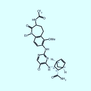 CCN1C(=O)C(NC(=O)C(F)(F)F)CCc2c1ccc(Nc1ncc(Cl)c(N[C@H]3[C@@H](C(N)=O)[C@@H]4C=C[C@H]3C4)n1)c2OC